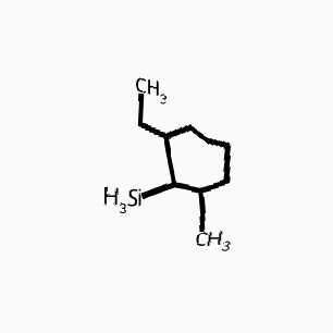 CCC1CCCC(C)C1[SiH3]